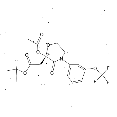 CC(=O)O[C@]1(CC(=O)OC(C)(C)C)OCCN(c2cccc(OC(F)(F)F)c2)C1=O